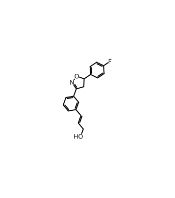 OCC=Cc1cccc(C2=NOC(c3ccc(F)cc3)C2)c1